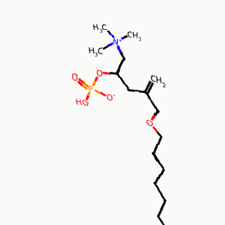 C=C(COCCCCCCCCCCCCCCCC)CC(C[N+](C)(C)C)OP(=O)([O-])O